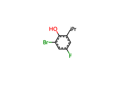 CC(C)c1cc(F)cc(Br)c1O